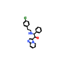 O=C(c1cnc2ccccn12)C(NCCc1ccc(Cl)cc1)c1ccccc1